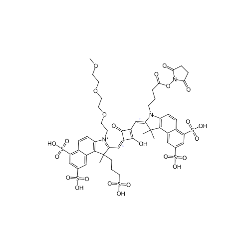 COCCOCCOCC[N+]1=C(/C=C2\C(=O)C(/C=C3/N(CCCC(=O)ON4C(=O)CCC4=O)c4ccc5c(S(=O)(=O)O)cc(S(=O)(=O)O)cc5c4C3(C)C)=C2O)C(C)(CCCS(=O)(=O)O)c2c1ccc1c(S(=O)(=O)O)cc(S(=O)(=O)O)cc21